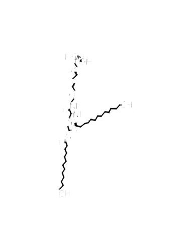 CCCCCCCCCCCCCC(=O)OC[C@H](CSC[C@H](N)C(=O)NCCOCCOCCOCCP(=O)(O)O)OC(=O)CCCCCCCCCCCCC